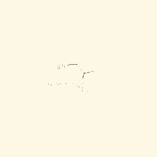 CC(C)CC(N)C(=O)O.CCCCCN